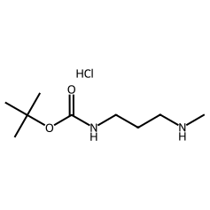 CNCCCNC(=O)OC(C)(C)C.Cl